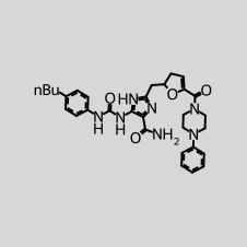 CCCCc1ccc(NC(=O)Nc2[nH]c(CC3CC=C(C(=O)N4CCN(c5ccccc5)CC4)O3)nc2C(N)=O)cc1